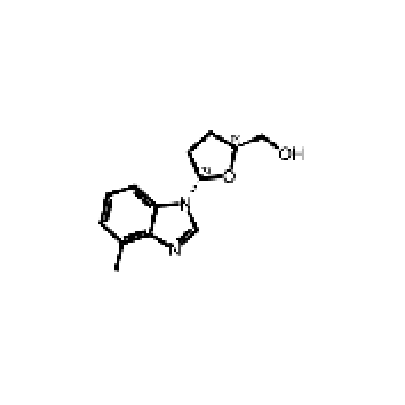 Cc1cccc2c1ncn2[C@@H]1CC[C@@H](CO)O1